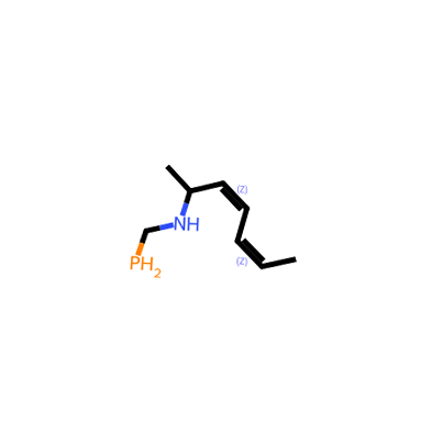 C/C=C\C=C/C(C)NCP